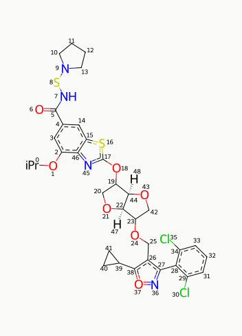 CC(C)Oc1cc(C(=O)NSN2CCCC2)cc2sc(OC3CO[C@@H]4C(OCc5c(-c6c(Cl)cccc6Cl)noc5C5CC5)CO[C@H]34)nc12